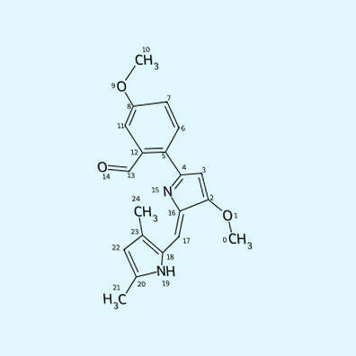 COC1=CC(c2ccc(OC)cc2C=O)=NC1=Cc1[nH]c(C)cc1C